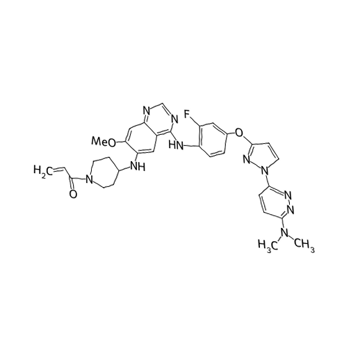 C=CC(=O)N1CCC(Nc2cc3c(Nc4ccc(Oc5ccn(-c6ccc(N(C)C)nn6)n5)cc4F)ncnc3cc2OC)CC1